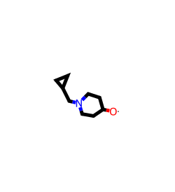 [O]C1CCN(CC2CC2)CC1